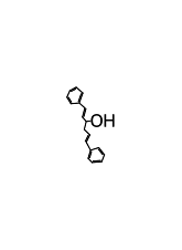 OC(C=Cc1ccccc1)CC=Cc1ccccc1